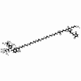 CCCCNC(=O)[C@H](CCCCNC(=O)COCCOCCOCCOCCOCCOCCOCCOCCOCCOC(=O)Nc1cc(C[C@@H](CC(C)C(=O)OC(C)(C)C)NC(=O)OC(C)(C)C)ccc1O)NC(=O)CCCN1C(=O)C=CC1=O